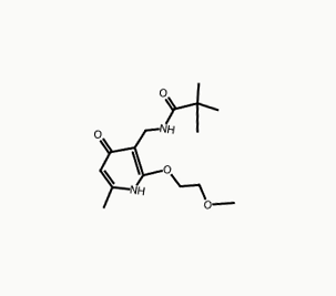 COCCOc1[nH]c(C)cc(=O)c1CNC(=O)C(C)(C)C